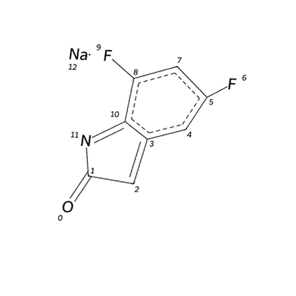 O=C1C=c2cc(F)cc(F)c2=N1.[Na]